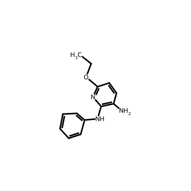 CCOc1ccc(N)c(Nc2ccccc2)n1